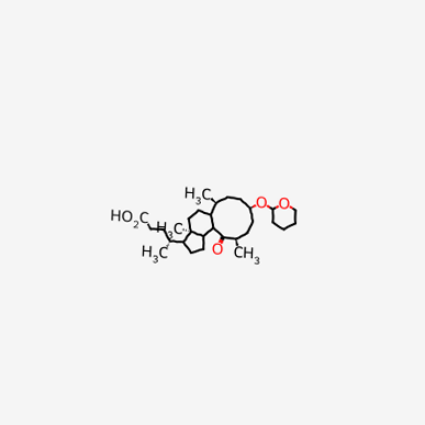 C[C@@H]1CC[C@H](OC2CCCCO2)CC[C@H](C)C2CC[C@@]3(C)C(CCC3[C@H](C)CCC(=O)O)C2C1=O